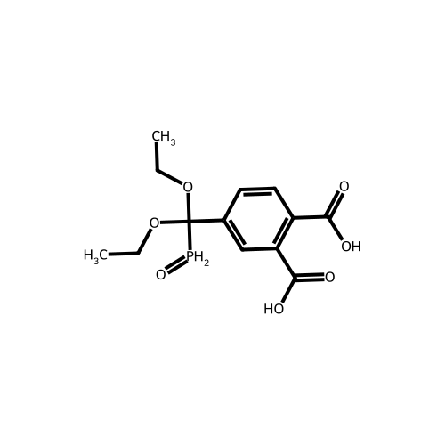 CCOC(OCC)([PH2]=O)c1ccc(C(=O)O)c(C(=O)O)c1